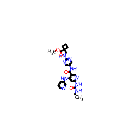 CCNC(=O)Nc1cc(Nc2cccnc2)c(C(=O)Nc2cnc(NCC3(C(=O)OC)CCC3)nc2)cn1